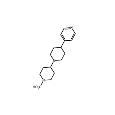 O=C(O)N1CCC(N2CCC(c3ccncc3)CC2)CC1